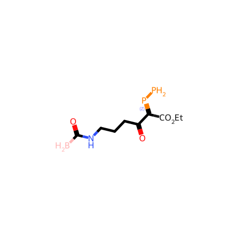 BC(=O)NCCCC(=O)/C(=P/P)C(=O)OCC